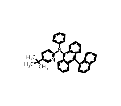 CC(C)(C)c1ccc(N(c2ccccc2)c2c3ccccc3c(-c3cccc4ccccc34)c3ccccc23)nc1